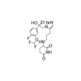 CC[C@@](O)(Cn1nncc1CCCNC1CCC(=O)NC1=O)c1ccc(F)c(OC(F)F)c1